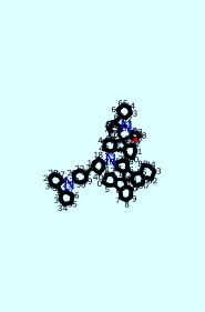 c1ccc2c(c1)-c1ccccc1C21c2cc(N(c3ccc(-c4ccc(-n5c6ccccc6c6ccccc65)cc4)cc3)c3cccc4c3-c3ccccc3C43c4ccccc4-n4c5ccccc5c5cccc3c54)ccc2-c2c1ccc1ccccc21